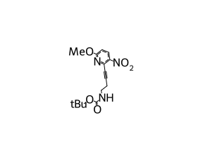 COc1ccc([N+](=O)[O-])c(C#CCCNC(=O)OC(C)(C)C)n1